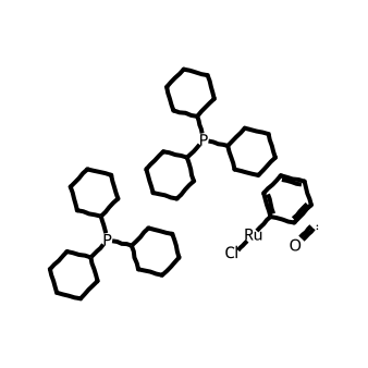 C1CCC(P(C2CCCCC2)C2CCCCC2)CC1.C1CCC(P(C2CCCCC2)C2CCCCC2)CC1.[C]=O.[Cl][Ru][c]1ccccc1